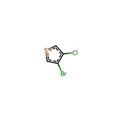 Clc1cscc1Br